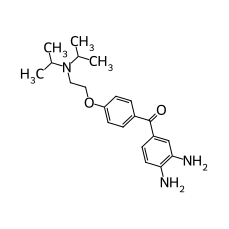 CC(C)N(CCOc1ccc(C(=O)c2ccc(N)c(N)c2)cc1)C(C)C